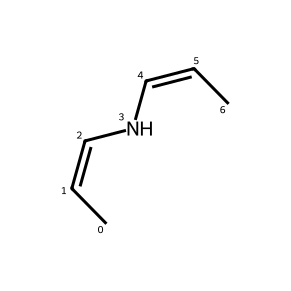 C/C=C\N/C=C\C